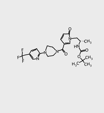 C[C@@H](Cn1cc(C(=O)N2CCN(c3ccc(C(F)(F)F)cn3)CC2)ccc1=O)NC(=O)OC(C)(C)C